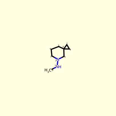 CNN1CCCC2(CC2)C1